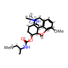 CNCC(C)NC(=O)OC1CC[C@@]2(C)[C@H]3Cc4ccc(OC)c5c4[C@@]2(CCN3C)[C@H]1O5